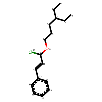 CCC(CC)CCCOC(Cl)C=Cc1ccccc1